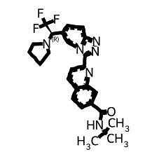 CC(C)(C)NC(=O)c1ccc2ccc(-c3nnc4ccc([C@@H](N5CCCC5)C(F)(F)F)cn34)nc2c1